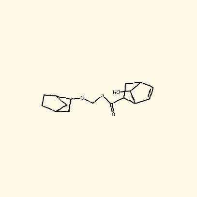 O=C(OCOC1CC2CCC1C2)C1CC2C=CC1C2O